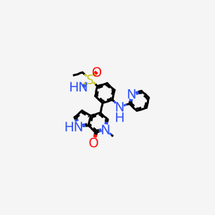 CCS(=N)(=O)c1ccc(Nc2ccccn2)c(-c2cn(C)c(=O)c3[nH]ccc23)c1